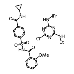 CCNc1nc(Cl)nc(NC(C)C)n1.COc1ccccc1C(=O)NS(=O)(=O)c1ccc(C(=O)NC2CC2)cc1